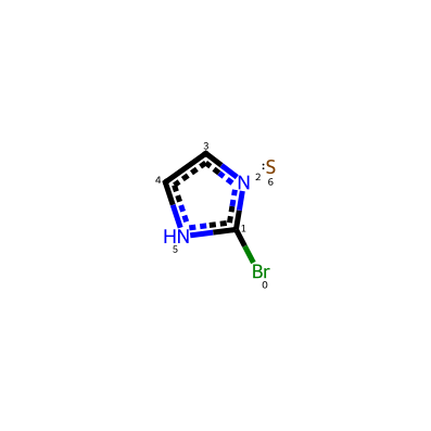 Brc1ncc[nH]1.[S]